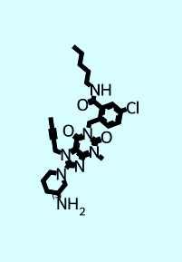 CC#CCn1c(N2CCC[C@H](N)C2)nc2c1c(=O)n(Cc1ccc(Cl)cc1C(=O)NCCCCC)c(=O)n2C